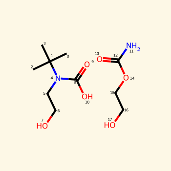 CC(C)(C)N(CCO)C(=O)O.NC(=O)OCCO